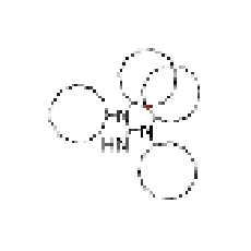 N=C(N(C1CCCCCCCCCC1)C1CCCCCCCCCC1)N(C1CCCCCCCCCC1)C1CCCCCCCCCC1